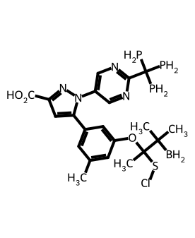 BC(C)(C)C(C)(Oc1cc(C)cc(-c2cc(C(=O)O)nn2-c2cnc(C(P)(P)P)nc2)c1)SCl